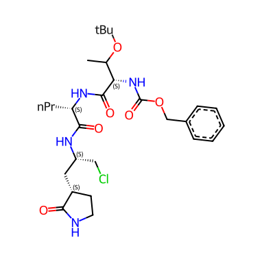 CCC[C@H](NC(=O)[C@@H](NC(=O)OCc1ccccc1)C(C)OC(C)(C)C)C(=O)N[C@H](CCl)C[C@@H]1CCNC1=O